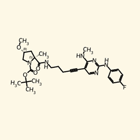 CNc1nc(Nc2ccc(F)cc2)ncc1C#CCCCNC(=O)[C@]1(C)C[C@@H](OC)CN1C(=O)OC(C)(C)C